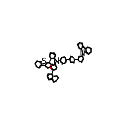 c1cc(-c2ccc(-c3ccc(N(c4ccc(-c5cccc6ccccc56)cc4)c4ccccc4-c4cccc5c4sc4ccccc45)cc3)cc2)cc(-n2c3ccccc3c3ccccc32)c1